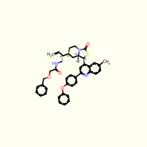 C=C[C@@H](CNC(=O)COCc1ccccc1)[C@H]1CCN2C(=O)S[C@@H](c3cc(-c4ccc(Oc5ccccc5)cc4)nc4ccc(C)cc34)[C@@H]2C1